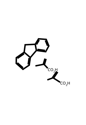 C=C(C)C(=O)O.C=C(C)C(=O)O.c1ccc2c(c1)Cc1ccccc1-2